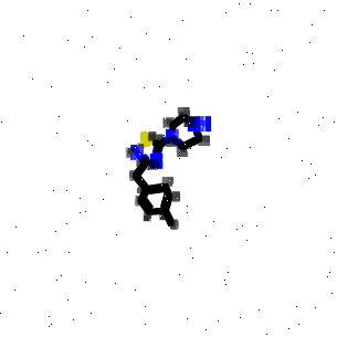 Cc1ccc(Cc2nsc(N3CCNCC3)n2)cc1